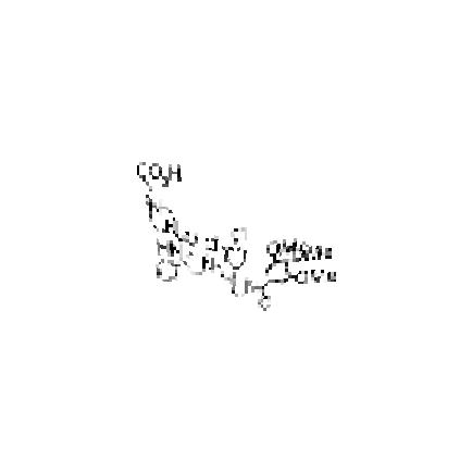 COc1cc(C(=O)N2CC[C@@](CCN3CCC(NC(=O)N4CCN(CCCC(=O)O)CC4)(c4ccccc4)CC3)(c3ccc(Cl)c(Cl)c3)C2)cc(OC)c1OC